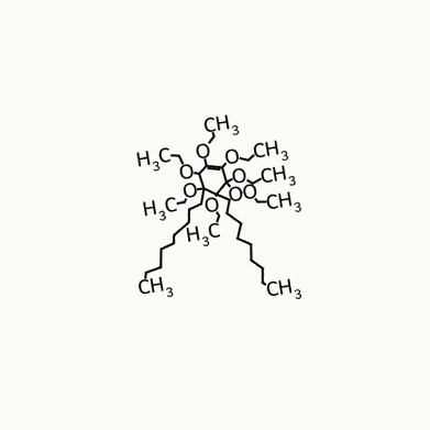 CCCCCCCCCC1(OCC)C(OCC)C(OCC)=C(OCC)C(OCC)(OOCC)C1(CCCCCCCCC)OCC